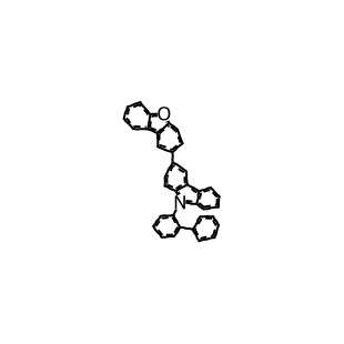 c1ccc(-c2ccccc2-n2c3ccccc3c3cc(-c4ccc5oc6ccccc6c5c4)ccc32)cc1